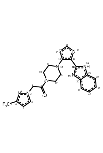 O=C(Cn1ccc(C(F)(F)F)n1)N1CCN(c2scnc2-c2nc3ccccc3[nH]2)CC1